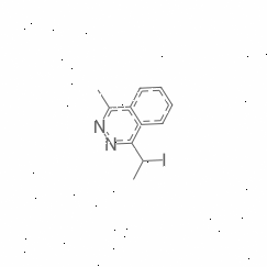 Cc1nnc(C(C)I)c2ccccc12